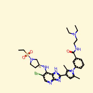 CCN(CC)CCNC(=O)c1cccc(-n2c(C)cc(-c3nc4ncc(Br)c(N[C@H]5CCN(S(=O)(=O)CC)C5)c4[nH]3)c2C)c1